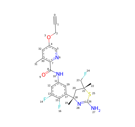 C#CCOc1cnc(C(=O)Nc2cc(F)c(F)c([C@]3(C)C[C@](C)(CF)SC(N)=N3)c2)c(C)c1